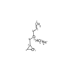 C=CCOCC1CO1.[Na+].[OH-]